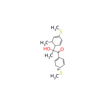 CSC1=CC(C)C(C(C)(O)C(=O)C2=CC[C@@H](SC)C=C2)C=C1